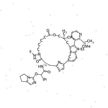 CCn1c(-c2cccnc2[C@H](C)OC)c2c3cc(ccc31)-c1csc(n1)C[C@H](NC(=O)C(Oc1ncc3n1CCC3)C(C)C)C(=O)N(NF)CCCCC(=O)OCC(C)(C)C2